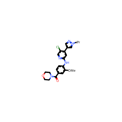 COc1cc(C(=O)N2CCOCC2)ccc1Nc1cc(-c2cnn(C(C)C)c2)c(Cl)cn1